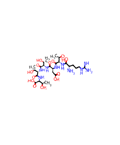 C[C@@H](O)[C@H](NC(=O)[C@@H](NC(=O)[C@@H](NC(=O)[C@H](CC(=O)O)NC(=O)[C@@H](NC(=O)[C@@H](N)CCCNC(=N)N)[C@@H](C)O)[C@@H](C)O)[C@@H](C)O)C(=O)O